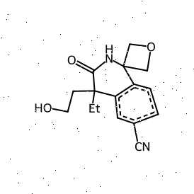 CCC1(CCO)C(=O)NC2(COC2)c2ccc(C#N)cc21